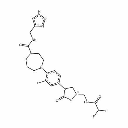 O=C(NC[C@H]1CN(c2ccc(N3CCON(C(=O)NCc4c[nH]nn4)CC3)c(F)c2)C(=O)O1)C(F)F